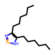 CCCCCCc1np[nH]c1CCCCCC